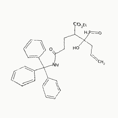 C=CCC(O)([PH2]=O)C(CCC(=O)NC(c1ccccc1)(c1ccccc1)c1ccccc1)C(=O)OCC